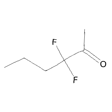 CCCC(F)(F)C(C)=O